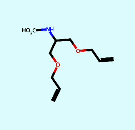 C=CCOCC(COCC=C)NC(=O)O